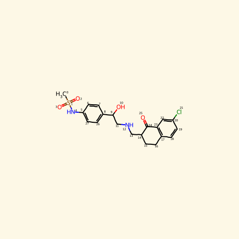 CS(=O)(=O)Nc1ccc(C(O)CNCC2CCc3ccc(Cl)cc3C2=O)cc1